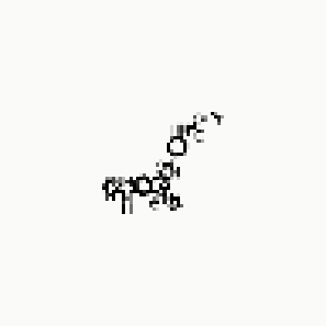 CC(C)OC(=O)N[C@H]1CC[C@H](c2ncc(-c3ccc(Nc4ncc[nH]4)cc3S(=O)(=O)N3CCC3)s2)CC1